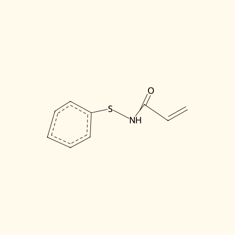 C=CC(=O)NSc1ccccc1